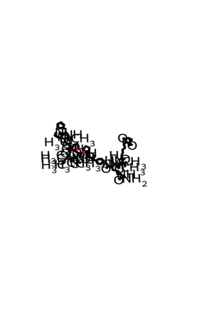 CC[C@H](C)[C@@H]([C@@H](CC(=O)N1CCC[C@H]1C(OC)[C@@H](C)C(=O)N[C@@H](Cc1ccccc1)c1ncccn1)OC)N(C)C(=O)[C@@H](NC(=O)C1[C@H]2CC[C@H](C2)N1C(=O)OCc1ccc(NC(=O)C(CCCNC(N)=O)NC(=O)[C@@H](NC(=O)CCCCCN2C(=O)C=CC2=O)C(C)C)cc1)C(C)C